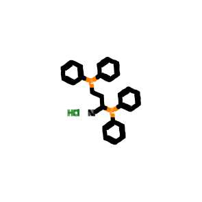 Cl.[Ni][CH](CCP(c1ccccc1)c1ccccc1)P(c1ccccc1)c1ccccc1